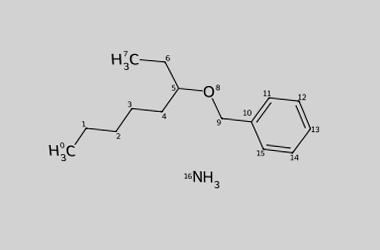 CCCCCC(CC)OCc1ccccc1.N